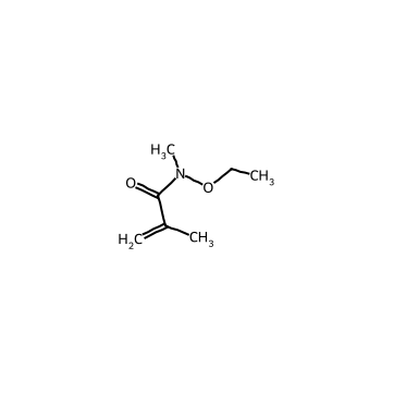 C=C(C)C(=O)N(C)OCC